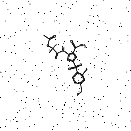 CC(=O)OC(C)(C)C(=O)Nc1sc(S(=O)(=O)c2ccc(CF)cc2F)cc1C(N)=O